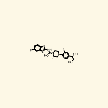 C[C@H](O)[C@@H](O)c1cnc(N2CCN(C(O)Nc3nc4ccc(F)cc4s3)[C@@H](C)C2)c(F)c1